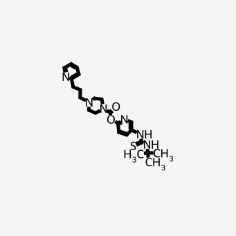 CC(C)(C)NC(=S)Nc1ccc(OC(=O)N2CCN(CCCc3ccccn3)CC2)nc1